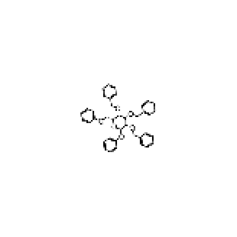 c1ccc(CO[C@H]2[C@@H](OCc3ccccc3)[C@@H](COc3ccccc3)O[C@H](Oc3ccccc3)[C@@H]2OCc2ccccc2)cc1